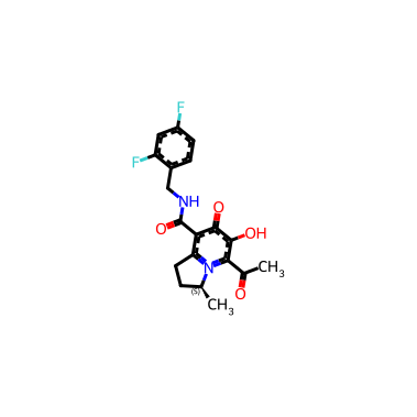 CC(=O)c1c(O)c(=O)c(C(=O)NCc2ccc(F)cc2F)c2n1[C@@H](C)CC2